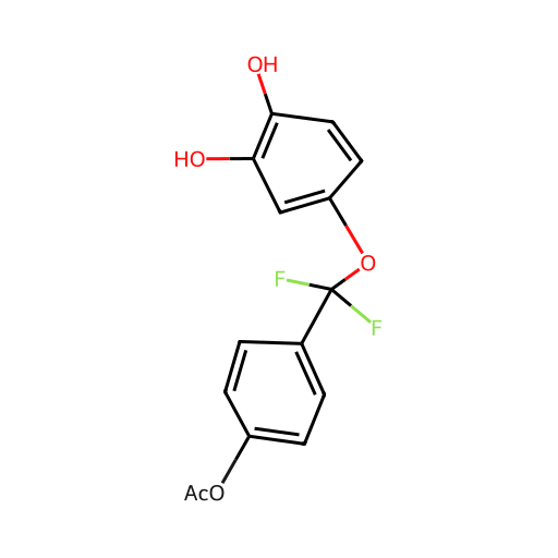 CC(=O)Oc1ccc(C(F)(F)Oc2ccc(O)c(O)c2)cc1